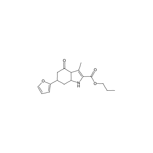 CCCOC(=O)C1=C(C)C2C(=O)CC(c3ccco3)CC2N1